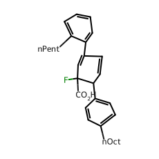 CCCCCCCCc1ccc(C2C=CC(c3ccccc3CCCCC)=CC2(F)C(=O)O)cc1